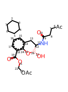 C1CCCCC1.CC(=O)CCC(=O)NC1Cc2cccc(C(=O)OCOC(C)=O)c2OB1O